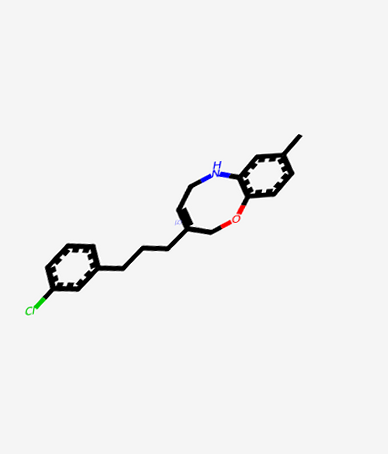 Cc1ccc2c(c1)NC/C=C(/CCCc1cccc(Cl)c1)CO2